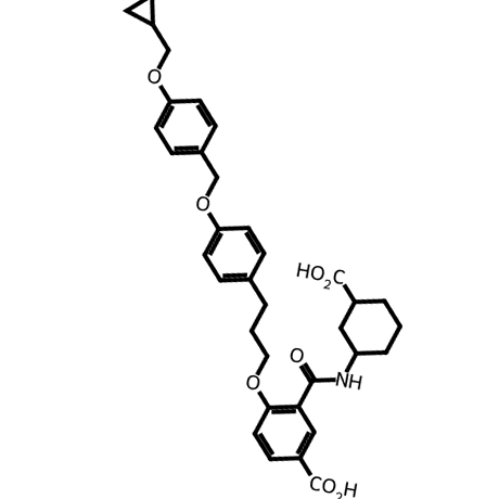 O=C(O)c1ccc(OCCCc2ccc(OCc3ccc(OCC4CC4)cc3)cc2)c(C(=O)NC2CCCC(C(=O)O)C2)c1